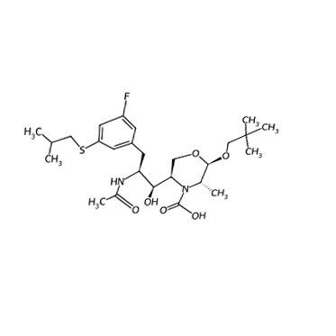 CC(=O)N[C@@H](Cc1cc(F)cc(SCC(C)C)c1)[C@H](O)[C@H]1CO[C@@H](OCC(C)(C)C)[C@H](C)N1C(=O)O